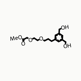 COC(=O)COCCOCCCc1cc(CO)cc(CO)c1